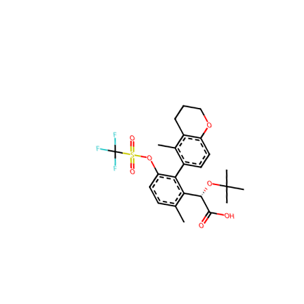 Cc1ccc(OS(=O)(=O)C(F)(F)F)c(-c2ccc3c(c2C)CCCO3)c1[C@H](OC(C)(C)C)C(=O)O